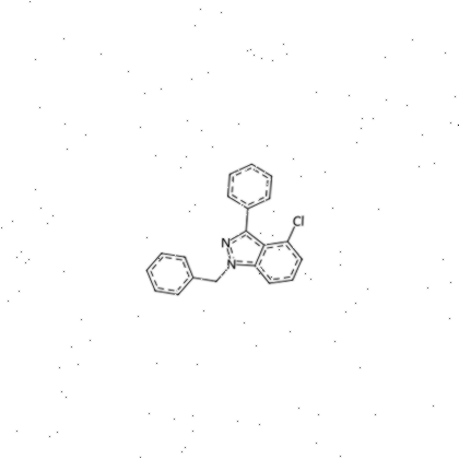 Clc1cccc2c1c(-c1ccccc1)nn2Cc1ccccc1